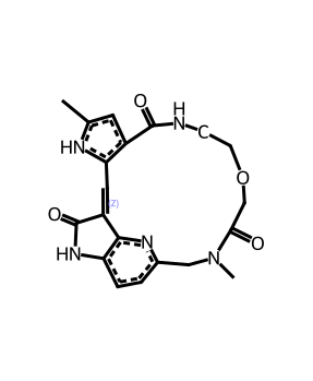 Cc1cc2c([nH]1)/C=C1\C(=O)Nc3ccc(nc31)CN(C)C(=O)COCCNC2=O